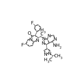 CC(C)n1cc(-c2nn(C(C)c3nc4ccc(F)cn4c(=O)c3-c3cccc(F)c3)c3ncnc(N)c23)cn1